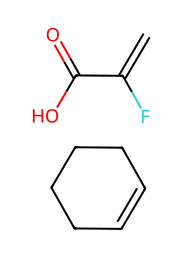 C1=CCCCC1.C=C(F)C(=O)O